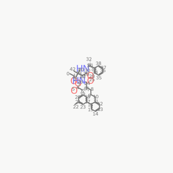 CCOOC(=O)C[C@@H](CCCc1ccccc1-c1cccc(C)c1)C(=O)N[C@H](C(=O)N[C@H](C)c1ccccc1)C(C)(C)C